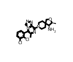 Cc1nc(N2CCC3(CC2)CO[C@@H](C)[C@H]3N)c2nncn2c1-c1cccc(Cl)c1Cl